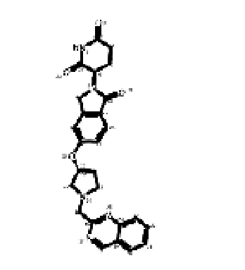 O=C1CCC(N2Cc3cc(O[C@H]4CCN(Cc5ncc6ccccc6n5)C4)ccc3C2=O)C(=O)N1